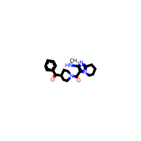 CNc1nc2n(c1C(=O)N1CCC(C(=O)c3ccccc3)CC1)CCCC2